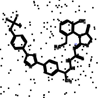 CCc1cccc(C)c1N1C(=O)CS/C1=N\C(=S)NNC(C)c1ccc(-c2ncn(-c3ccc(OC(F)(F)F)cc3)n2)cc1